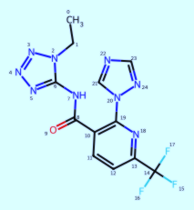 CCn1nnnc1NC(=O)c1ccc(C(F)(F)F)nc1-n1cncn1